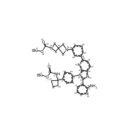 CC(C)(C)OC(=O)NC1(c2ccc(-n3c(-c4cccnc4N)nc4ccc(-c5cccc(N6CC7(CN(C(=O)OC(C)(C)C)C7)C6)c5)nc43)cc2)CCC1